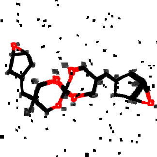 CCC1(CC2CC3OC3C2)COC2(OCC(CC3CC4OC4C3)CO2)OC1